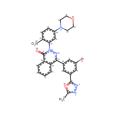 Cc1nnc(-c2cc(Br)cc(-c3nn(-c4cc(N5CCOCC5)ccc4[N+](=O)[O-])c(=O)c4ccccc34)c2)o1